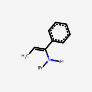 CC=C(c1ccccc1)N(C(C)C)C(C)C